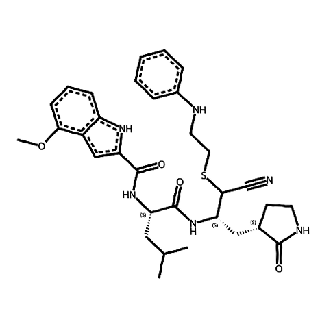 COc1cccc2[nH]c(C(=O)N[C@@H](CC(C)C)C(=O)N[C@@H](C[C@@H]3CCNC3=O)C(C#N)SCCNc3ccccc3)cc12